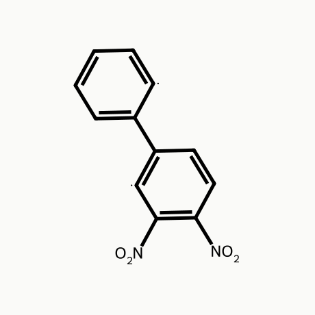 O=[N+]([O-])c1[c]c(-c2[c]cccc2)ccc1[N+](=O)[O-]